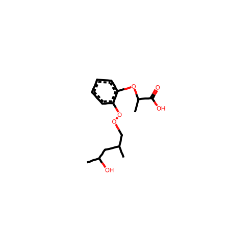 CC(O)CC(C)COOc1ccccc1OC(C)C(=O)O